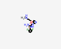 CNCCCCOc1ccncc1NC(=O)c1nc(-c2c(F)cccc2F)sc1N